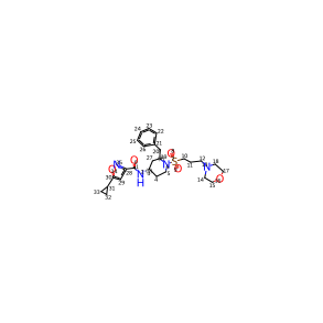 O=C(N[C@H]1CCN(S(=O)(=O)CCCN2CCOCC2)[C@H](Cc2ccccc2)C1)c1cc(C2CC2)on1